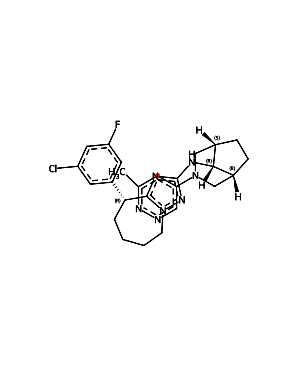 Cc1cc(N2C[C@H]3CC[C@@H](C2)[C@H]3Nc2nc3n(n2)CCCC[C@@H]3c2cc(F)cc(Cl)c2)cnn1